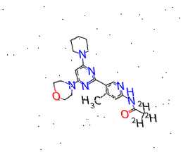 [2H]C([2H])([2H])C(=O)Nc1cc(C)c(-c2nc(N3CCCCC3)cc(N3CCOCC3)n2)cn1